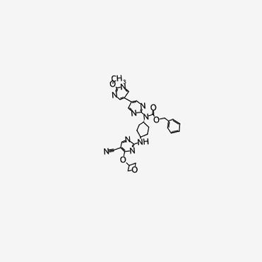 COc1ncc(-c2cnc(N(C(=O)OCc3ccccc3)[C@H]3CC[C@H](Nc4ncc(C#N)c(OC5COC5)n4)CC3)nc2)cn1